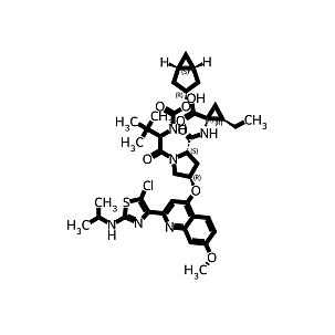 CC[C@@H]1C[C@]1(NC(=O)[C@@H]1C[C@@H](Oc2cc(-c3nc(NC(C)C)sc3Cl)nc3cc(OC)ccc23)CN1C(=O)C(NC(=O)O[C@@H]1C[C@@H]2C[C@@H]2C1)C(C)(C)C)C(=O)O